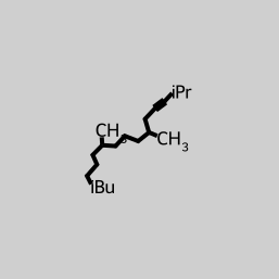 [CH2]CC(C)CCCC(C)CCCC(C)CC#CC(C)C